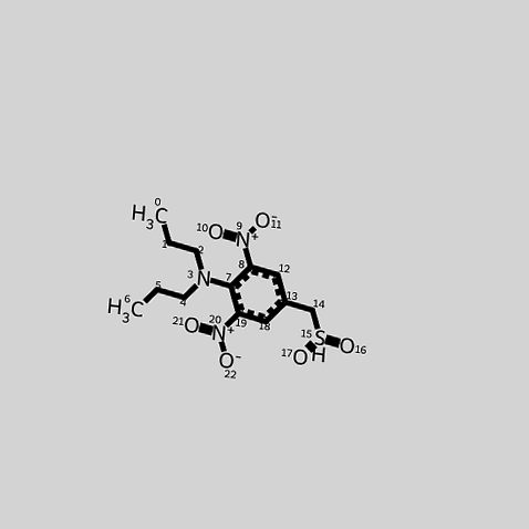 CCCN(CCC)c1c([N+](=O)[O-])cc(C[SH](=O)=O)cc1[N+](=O)[O-]